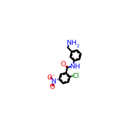 NCc1cccc(NC(=O)c2cc([N+](=O)[O-])ccc2Cl)c1